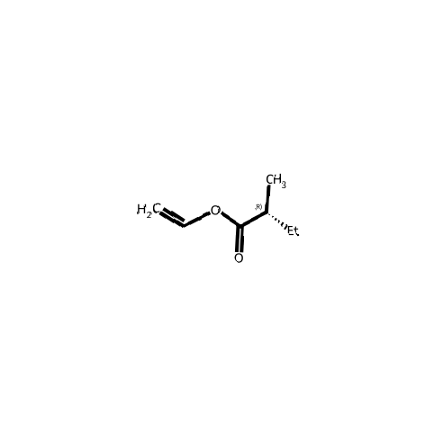 C=COC(=O)[C@H](C)CC